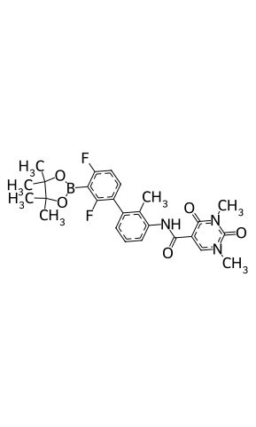 Cc1c(NC(=O)c2cn(C)c(=O)n(C)c2=O)cccc1-c1ccc(F)c(B2OC(C)(C)C(C)(C)O2)c1F